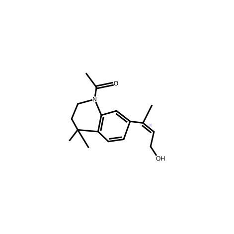 CC(=O)N1CCC(C)(C)c2ccc(/C(C)=C\CO)cc21